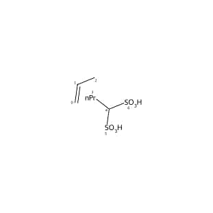 C=CC.CCCC(S(=O)(=O)O)S(=O)(=O)O